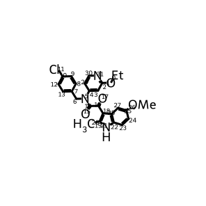 CCOc1cc(N(Cc2ccc(Cl)cc2)C(=O)C(=O)c2c(C)[nH]c3ccc(OC)cc23)ccn1